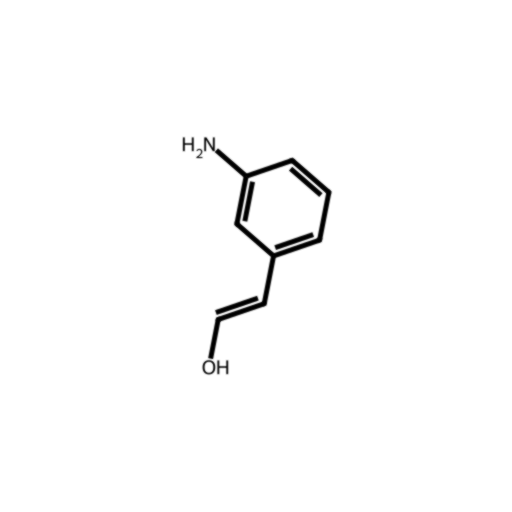 Nc1cccc(C=CO)c1